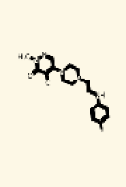 Cn1ncc(N2CCN(CCNc3ccc(F)cc3)CC2)c(Cl)c1=O